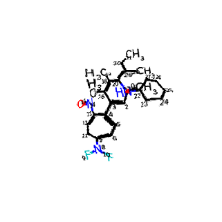 CC\C=C(C1=CC=C(N(F)F)CC=C1N=O)/C(C)=C(C)\C(NC1CCCCC1)=C(\C)CC